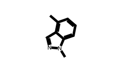 Cc1cccc2c1[c]nn2C